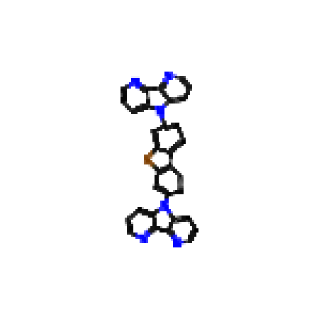 c1cnc2c3ncccc3n(-c3ccc4c(c3)sc3cc(-n5c6cccnc6c6ncccc65)ccc34)c2c1